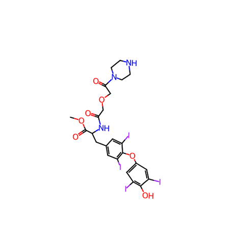 COC(=O)C(Cc1cc(I)c(Oc2cc(I)c(O)c(I)c2)c(I)c1)NC(=O)COCC(=O)N1CCNCC1